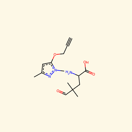 C#CCOc1cc(C)nn1C.CC(C)(C=O)CC(N)C(=O)O